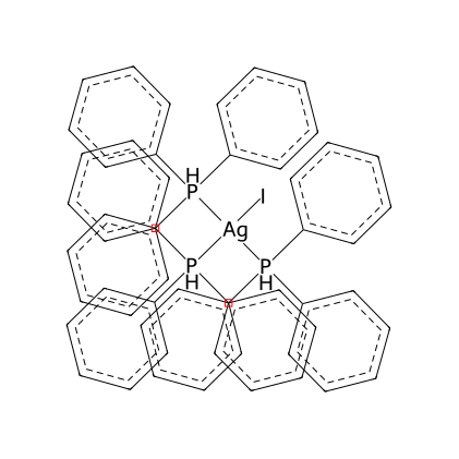 [I][Ag]([PH](c1ccccc1)(c1ccccc1)c1ccccc1)([PH](c1ccccc1)(c1ccccc1)c1ccccc1)[PH](c1ccccc1)(c1ccccc1)c1ccccc1